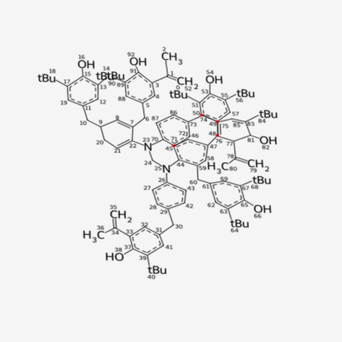 C=C(C)c1cc(CC2=CC(Cc3cc(C(C)(C)C)c(O)c(C(C)(C)C)c3)CC=C2N(CN(c2ccc(Cc3cc(C(=C)C)c(O)c(C(C)(C)C)c3)cc2)c2ccc(Cc3cc(C(C)(C)C)c(O)c(C(C)(C)C)c3)cc2Cc2cc(C(C)(C)C)c(O)c(C(C)(C)C)c2)c2ccc(CC3=CC(C(=C)C)C(O)C(C(C)(C)C)=C3)cc2)cc(C(C)(C)C)c1O